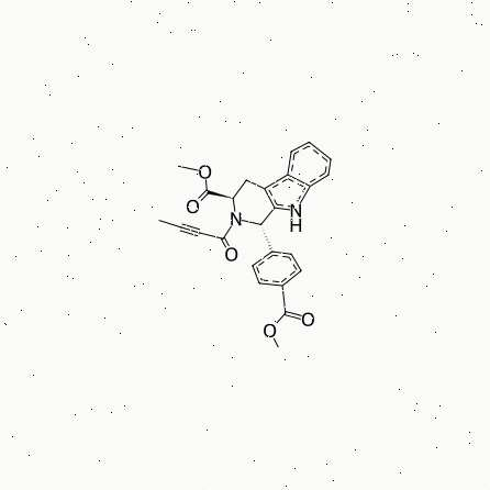 CC#CC(=O)N1[C@@H](c2ccc(C(=O)OC)cc2)c2[nH]c3ccccc3c2C[C@@H]1C(=O)OC